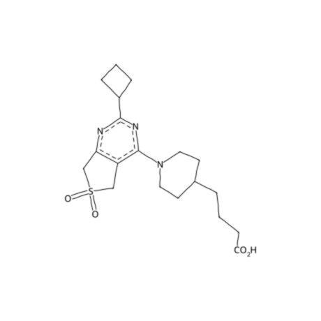 O=C(O)CCCC1CCN(c2nc(C3CCC3)nc3c2CS(=O)(=O)C3)CC1